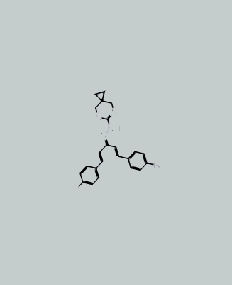 Brc1ccc(C=CC(C=Cc2ccc(Br)cc2)=NNC2=NCC3(CC3)CN2)cc1